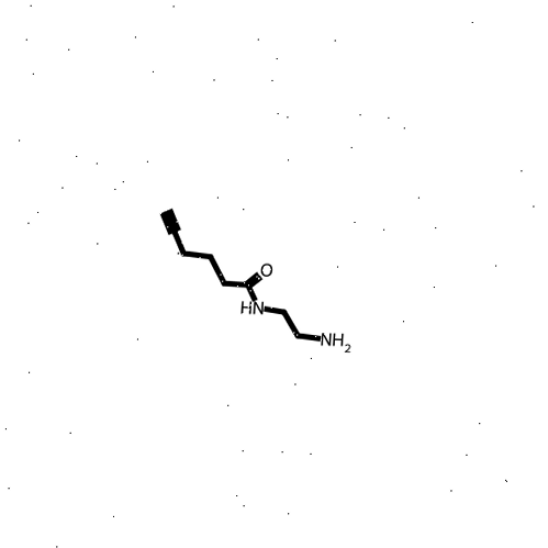 C#C[CH]CCC(=O)NCCN